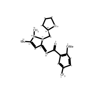 COc1ccc(C(F)(F)F)cc1C(=O)N=c1cc(C(C)(C)C)n(C)n1C[C@H]1CCCO1